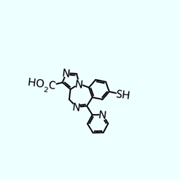 O=C(O)c1ncn2c1CN=C(c1ccccn1)c1cc(S)ccc1-2